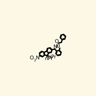 CCCC1(CCC)c2cc(/C(=N/OC(=O)Cc3ccccc3)c3ccccc3C)ccc2-c2ccc([N+](=O)[O-])cc21